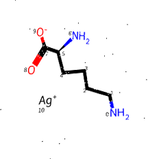 NCCCC[C@H](N)C(=O)[O-].[Ag+]